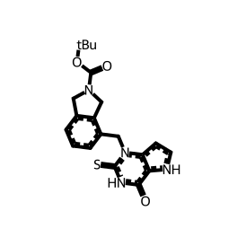 CC(C)(C)OC(=O)N1Cc2cccc(Cn3c(=S)[nH]c(=O)c4[nH]ccc43)c2C1